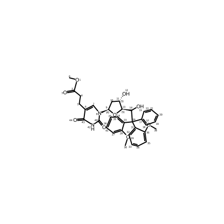 COC(=O)CCc1cn([C@H]2C[C@H](O)[C@@H](C(O)C(c3ccccc3)(c3ccccc3OC)c3ccccc3OC)O2)c(=O)[nH]c1=O